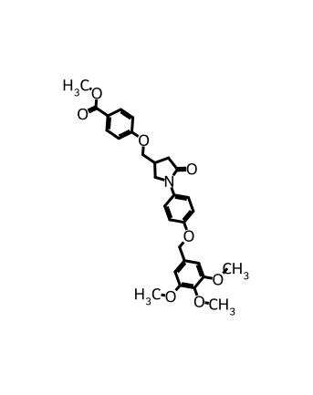 COC(=O)c1ccc(OCC2CC(=O)N(c3ccc(OCc4cc(OC)c(OC)c(OC)c4)cc3)C2)cc1